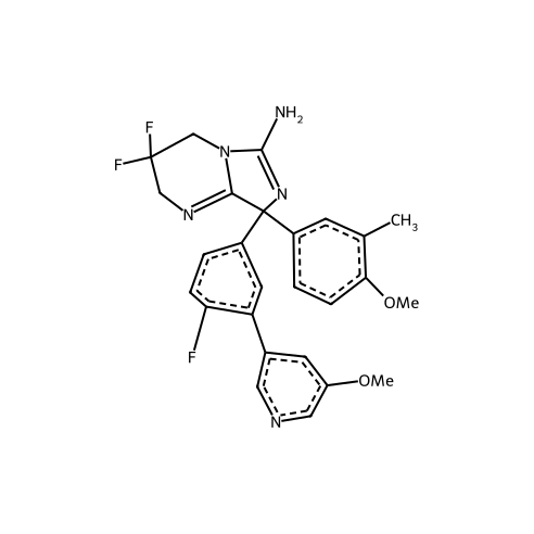 COc1cncc(-c2cc(C3(c4ccc(OC)c(C)c4)N=C(N)N4CC(F)(F)CN=C43)ccc2F)c1